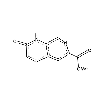 COC(=O)c1cc2ccc(=O)[nH]c2cn1